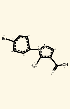 Cc1c(C(=O)O)cnn1-c1ccc(Br)cc1